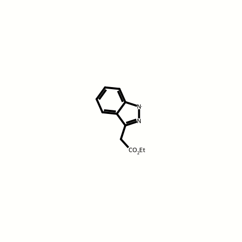 CCOC(=O)CC1=N[N]c2ccccc21